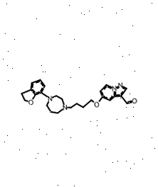 O=Cc1cnn2ccc(OCCCCN3CCCN(c4cccc5c4OCC5)CC3)cc12